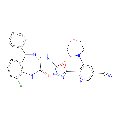 N#Cc1cnc(-c2nnc(N[C@H]3N=C(c4ccccc4)c4cccc(F)c4NC3=O)o2)c(N2CCOCC2)c1